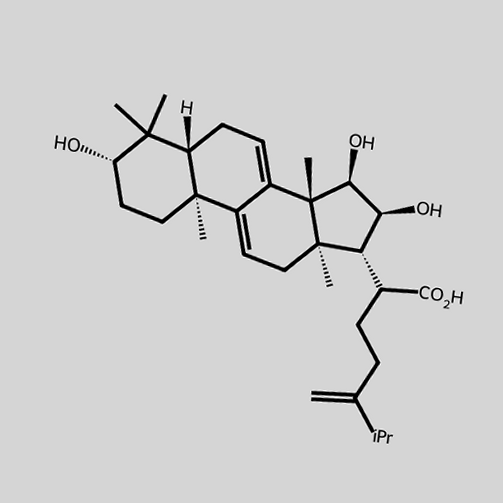 C=C(CCC(C(=O)O)[C@H]1[C@H](O)[C@H](O)[C@@]2(C)C3=CC[C@H]4C(C)(C)[C@@H](O)CC[C@]4(C)C3=CC[C@]12C)C(C)C